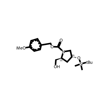 COc1ccc(COC(=O)N2C[C@H](O[Si](C)(C)C(C)(C)C)C[C@H]2CO)cc1